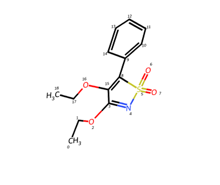 CCOC1=NS(=O)(=O)C(c2ccccc2)=C1OCC